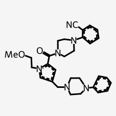 COCCn1cc(CN2CCN(c3ccccc3)CC2)cc1C(=O)N1CCN(c2ccccc2C#N)CC1